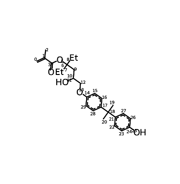 C=C(C)C(=O)OC(CC)(CC)CC(O)COc1ccc(C(C)(C)c2ccc(O)cc2)cc1